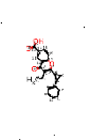 CCc1c(C2CC2c2ccccc2)oc2ccc(C(=O)O)cc2c1=O